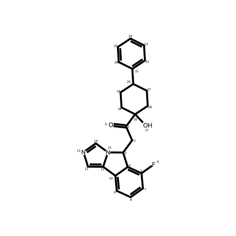 O=C(CC1c2c(F)cccc2-c2cncn21)C1(O)CCC(c2ccccc2)CC1